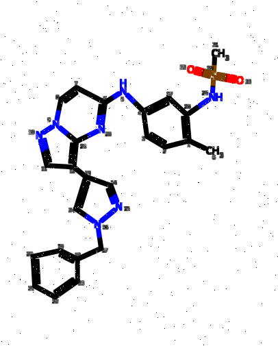 Cc1ccc(Nc2ccn3ncc(-c4cnn(Cc5ccccc5)c4)c3n2)cc1NS(C)(=O)=O